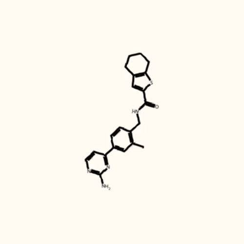 Cc1cc(-c2ccnc(N)n2)ccc1CNC(=O)c1cc2c(s1)CCCC2